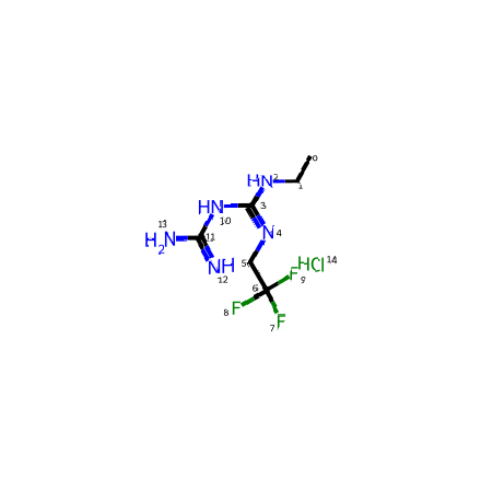 CCNC(=NCC(F)(F)F)NC(=N)N.Cl